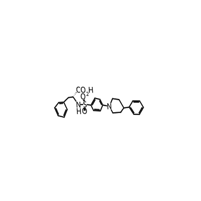 O=C(O)[C@@H](Cc1ccccc1)NS(=O)(=O)c1ccc(N2CCC(c3ccccc3)CC2)cc1